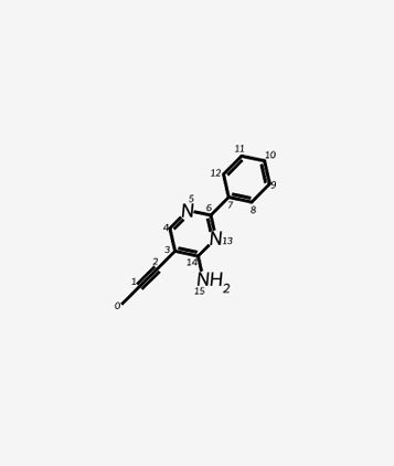 CC#Cc1cnc(-c2ccccc2)nc1N